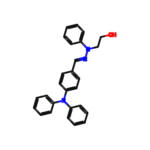 OCCN(/N=C/c1ccc(N(c2ccccc2)c2ccccc2)cc1)c1ccccc1